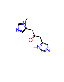 Cn1cncc1CC(=O)Cc1cncn1C